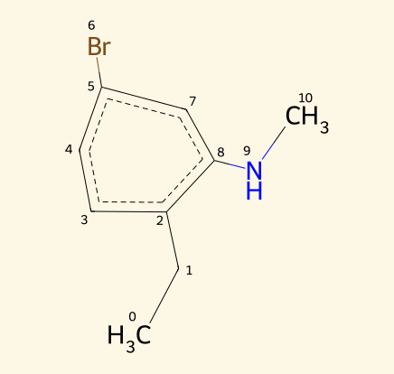 CCc1ccc(Br)cc1NC